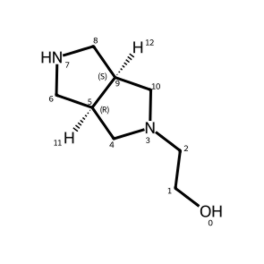 OCCN1C[C@H]2CNC[C@H]2C1